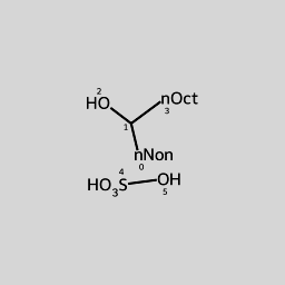 CCCCCCCCCC(O)CCCCCCCC.O=S(=O)(O)O